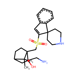 CC1(C)C2CCC1(CS(=O)(=O)C1=Cc3ccccc3C13CCNCC3)C(O)(CN)C2